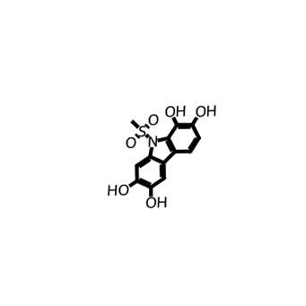 CS(=O)(=O)n1c2cc(O)c(O)cc2c2ccc(O)c(O)c21